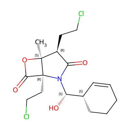 C[C@@]12OC(=O)[C@]1(CCCl)N([C@@H](O)[C@@H]1C=CCCC1)C(=O)[C@@H]2CCCl